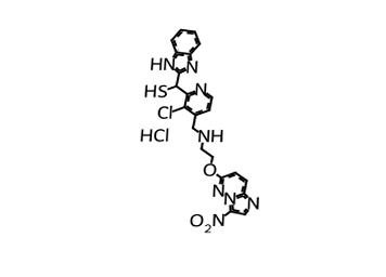 Cl.O=[N+]([O-])c1cnc2ccc(OCCNCc3ccnc(C(S)c4nc5ccccc5[nH]4)c3Cl)nn12